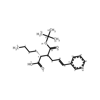 CCCC[C@@H](C(=O)O)C(C/C=C/c1cccnc1)C(=O)OC(C)(C)C